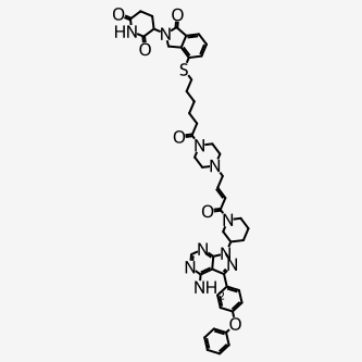 Nc1ncnc2c1c(-c1ccc(Oc3ccccc3)cc1)nn2C1CCCN(C(=O)/C=C/CN2CCN(C(=O)CCCCCSc3cccc4c3CN(C3CCC(=O)NC3=O)C4=O)CC2)C1